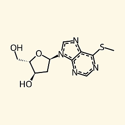 CSc1ncnc2c1ncn2[C@H]1C[C@@H](O)[C@H](CO)O1